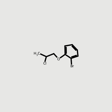 CC(Cl)COc1ccccc1Br